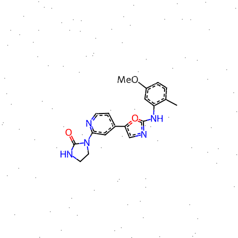 COc1ccc(C)c(Nc2ncc(-c3ccnc(N4CCNC4=O)c3)o2)c1